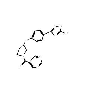 O=C(c1cncnc1)N1CCC(Oc2ccc(-c3noc(C(F)(F)F)n3)cc2)C1